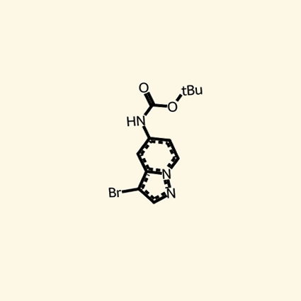 CC(C)(C)OC(=O)Nc1ccn2ncc(Br)c2c1